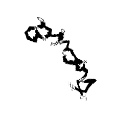 CC1(C)CCN(Cc2cc3ccc(CNC(=O)c4cc(=O)n5ccccc5n4)cc3[nH]2)C1